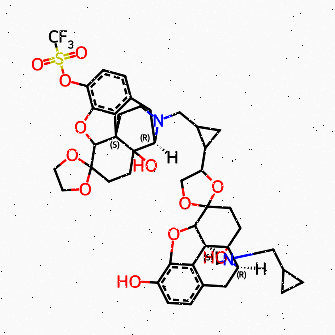 O=S(=O)(Oc1ccc2c3c1OC1C4(CCC5(O)[C@@H](C2)N(CC2CC2C2COC6(CCC7(O)[C@H]8Cc9ccc(O)c%10c9[C@@]7(CCN8CC7CC7)C6O%10)O2)CC[C@]315)OCCO4)C(F)(F)F